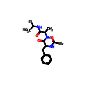 CCC(NC(=O)C(C)NC(=O)C(Cc1ccccc1)NC(=O)C(C)(C)C)C(=O)O